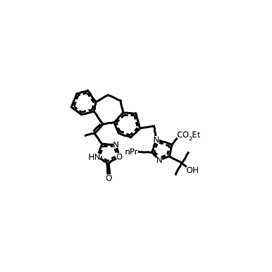 CCCc1nc(C(C)(C)O)c(C(=O)OCC)n1Cc1ccc2c(c1)CCc1ccccc1/C2=C(\C)c1noc(=O)[nH]1